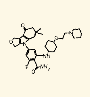 CC1(C)CC(=O)c2c3c(n(-c4cc(F)c(C(N)=O)c(N[C@H]5CC[C@H](OCCN6CCCCC6)CC5)c4)c2C1)COC3